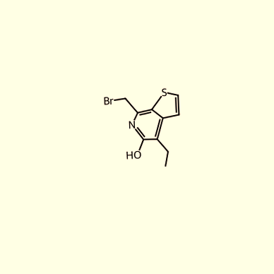 CCc1c(O)nc(CBr)c2sccc12